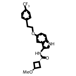 CO[C@H]1C[C@H](C(=O)Nc2c[nH]c3ccc(OCCc4ccc(C(F)(F)F)cc4)cc23)C1